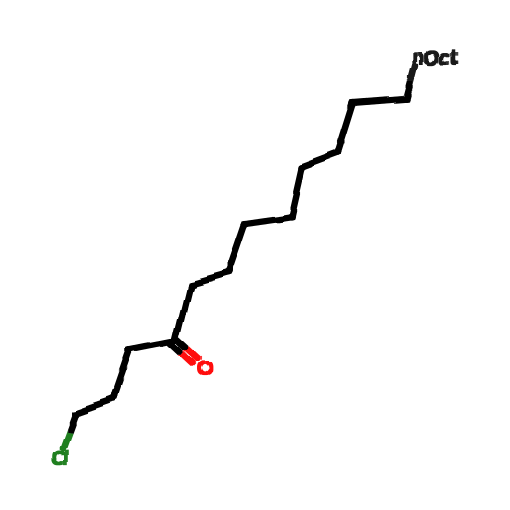 CCCCCCCCCCCCCCCCC(=O)CCCCl